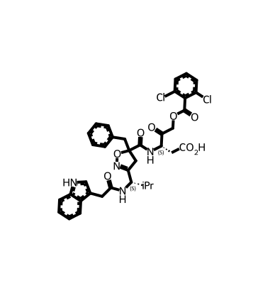 CC(C)[C@H](NC(=O)Cc1c[nH]c2ccccc12)C1=NOC(Cc2ccccc2)(C(=O)N[C@@H](CC(=O)O)C(=O)COC(=O)c2c(Cl)cccc2Cl)C1